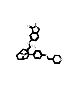 CCCN1C2CCC1CC(c1ccc(OCC3CCOCC3)cc1)=C(COc1ccc3c(c1)C(=O)NC3)C2